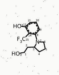 OCCC1CCCN1c1cccc(O)c1C(F)(F)F